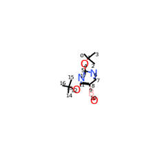 CC(C)(C)Oc1ncc(B=O)c(OC(C)(C)C)n1